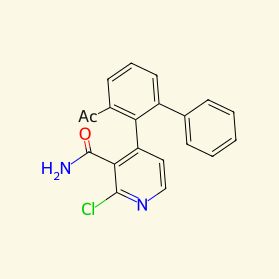 CC(=O)c1cccc(-c2ccccc2)c1-c1ccnc(Cl)c1C(N)=O